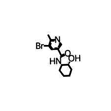 Cc1ncc(C(=O)N[C@H]2CCCC[C@@H]2O)cc1Br